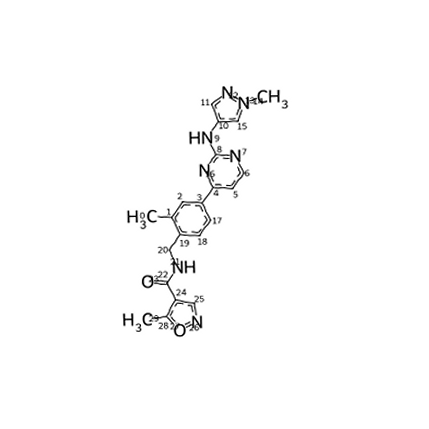 Cc1cc(-c2ccnc(Nc3cnn(C)c3)n2)ccc1CNC(=O)c1cnoc1C